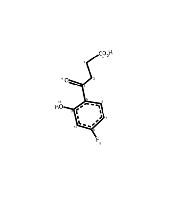 O=C(O)CCC(=O)c1ccc(F)cc1O